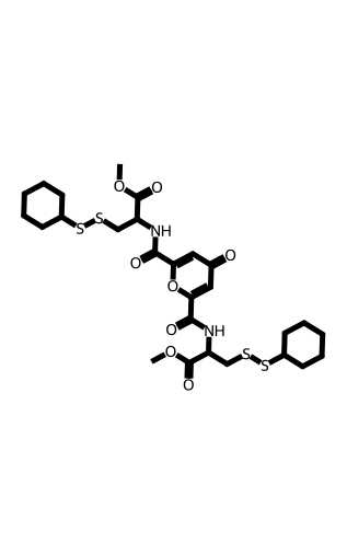 COC(=O)C(CSSC1CCCCC1)NC(=O)c1cc(=O)cc(C(=O)NC(CSSC2CCCCC2)C(=O)OC)o1